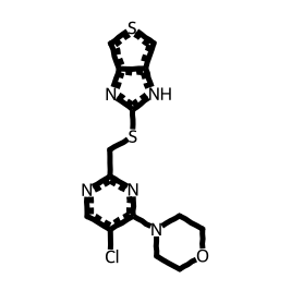 Clc1cnc(CSc2nc3cscc3[nH]2)nc1N1CCOCC1